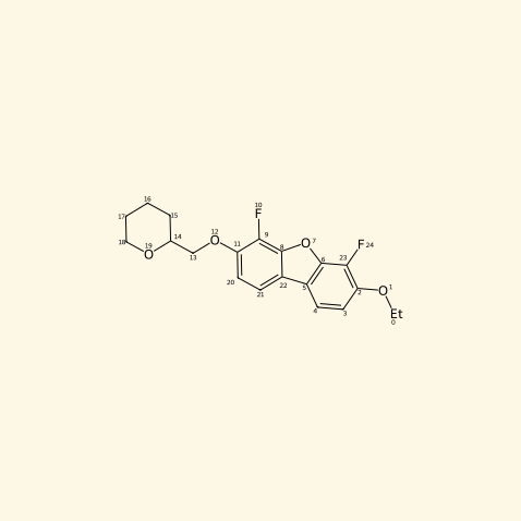 CCOc1ccc2c(oc3c(F)c(OCC4CCCCO4)ccc32)c1F